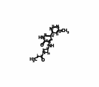 C=CC(=O)N1CC(Nc2cc(-c3cc(C)ncn3)c[nH]c2=O)C1